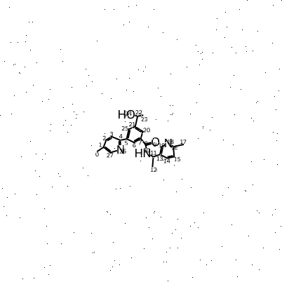 Cc1ccc(-c2cc(C(=O)NC(C)c3ccc(C)nc3)cc(C(C)O)c2)nc1